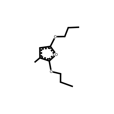 CCCOc1cc(C)c(OCCC)o1